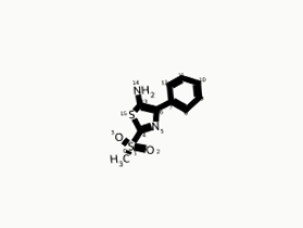 CS(=O)(=O)c1nc(-c2ccccc2)c(N)s1